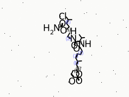 COC1=CC[C@@H]([C@@H](C)/C=C(C)/C=C\C=C/C(=O)N[C@H](C(=O)N/C=C\C[C@@H](C/C=C(\C)Cl)OC(N)=O)C(C)C)OC1=O